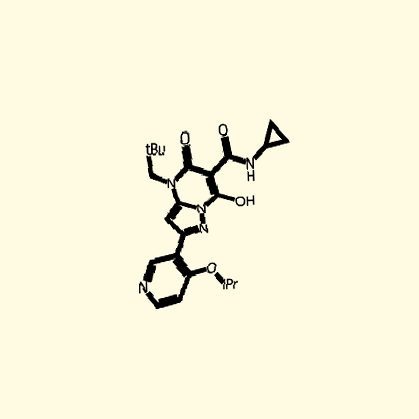 CC(C)Oc1ccncc1-c1cc2n(CC(C)(C)C)c(=O)c(C(=O)NC3CC3)c(O)n2n1